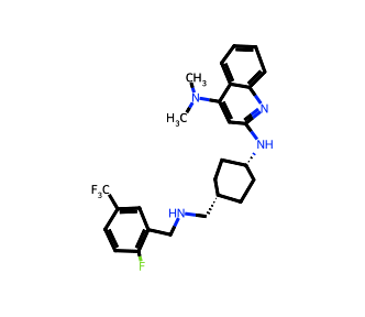 CN(C)c1cc(N[C@H]2CC[C@@H](CNCc3cc(C(F)(F)F)ccc3F)CC2)nc2ccccc12